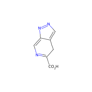 O=C(O)C1=NC=C2N=NC=C2C1